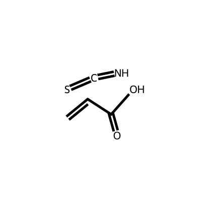 C=CC(=O)O.N=C=S